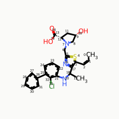 C/C=C\c1sc(CN2C[C@@H](O)C[C@H]2C(=O)O)nc1C(C)Nc1cccc(-c2ccccc2)c1Cl